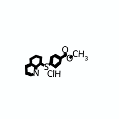 COC(=O)c1ccc(SC2CCCc3cccnc32)cc1.Cl